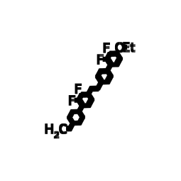 C=CC1CCC(c2ccc(/C=C/c3ccc(-c4ccc(OCC)c(F)c4F)cc3)c(F)c2F)CC1